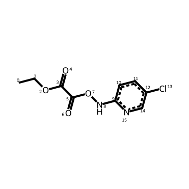 CCOC(=O)C(=O)ONc1ccc(Cl)cn1